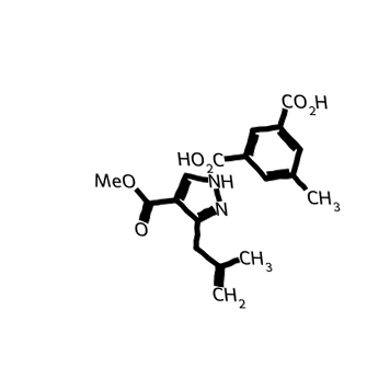 C=C(C)Cc1n[nH]cc1C(=O)OC.Cc1cc(C(=O)O)cc(C(=O)O)c1